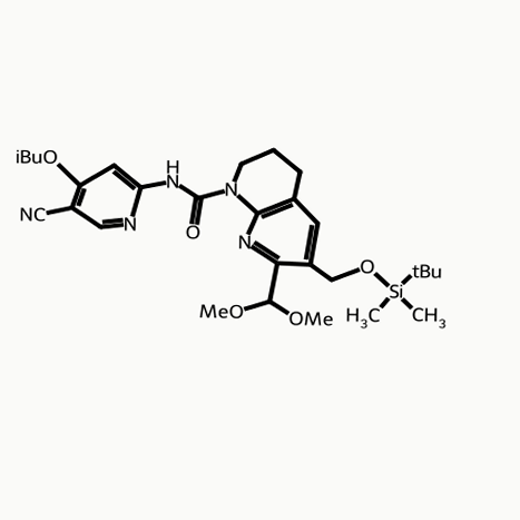 COC(OC)c1nc2c(cc1CO[Si](C)(C)C(C)(C)C)CCCN2C(=O)Nc1cc(OCC(C)C)c(C#N)cn1